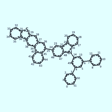 c1ccc(-c2cc(-c3ccccc3)cc(-n3c4ccccc4c4cc(-c5cc6cc7sc8ccccc8c7cc6c6ccccc56)ccc43)c2)cc1